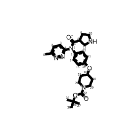 Cc1ccc(N(C(=O)C2CCNC2)c2ccc(OC3CCN(C(=O)OC(C)(C)C)CC3)cc2)nn1